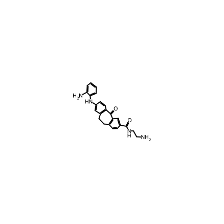 NCCNC(=O)c1ccc2c(c1)C(=O)c1ccc(Nc3ccccc3N)cc1CC2